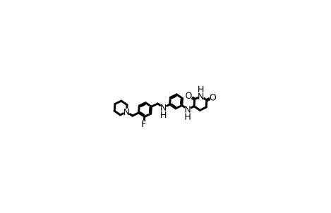 O=C1CCC(Nc2cccc(NCc3ccc(CN4CCCCC4)c(F)c3)c2)C(=O)N1